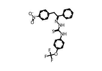 O=[N+]([O-])c1ccc(CC(=NNC(=S)Nc2ccc(OC(F)(F)F)cc2)c2ccccc2)cc1